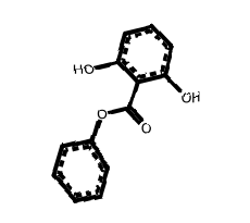 O=C(Oc1ccccc1)c1c(O)cccc1O